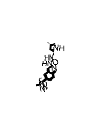 Cc1nnc(-c2ccc3cnc(NC(=O)NC[C@H]4C[C@H](C)CN4)cc3c2)s1